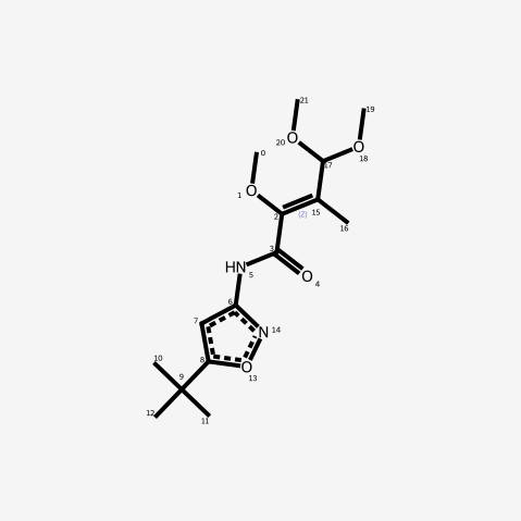 CO/C(C(=O)Nc1cc(C(C)(C)C)on1)=C(/C)C(OC)OC